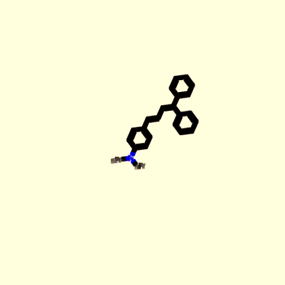 CCCN(CCC)c1ccc(/C=C/C=C(c2ccccc2)c2ccccc2)cc1